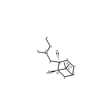 CCN(C)C[C@H]1CCC2C[C@H]1C2(C)C